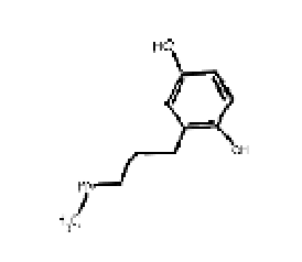 CNCCCc1cc(O)ccc1O